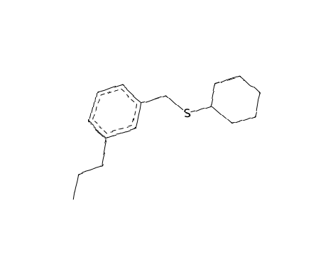 CCCc1cccc(CSC2CCCCC2)c1